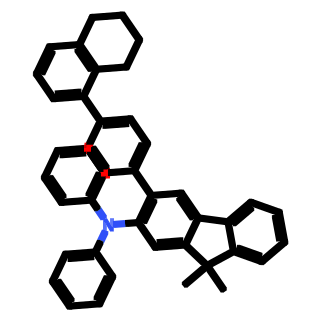 CC1(C)c2ccccc2-c2cc(-c3ccc(-c4cccc5c4CCCC5)cc3)c(N(c3ccccc3)c3ccccc3)cc21